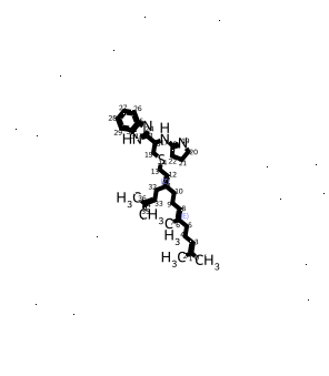 CC(C)=CCC/C(C)=C/CC/C(=C/CSCC(NC1=NCCC1)c1nc2ccccc2[nH]1)CC=C(C)C